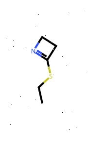 CCSC1=NCC1